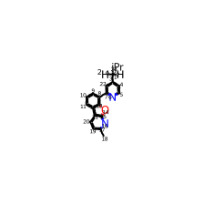 [2H]C([2H])(c1ccnc(-c2cccc3c2oc2nc(C)ccc23)c1)C(C)C